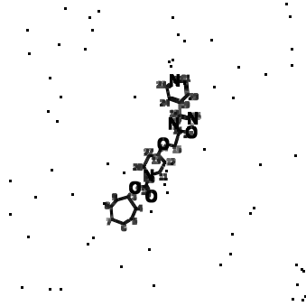 O=C(OC1CCCCCC1)N1CCC(OCc2nc(-c3ccncc3)no2)CC1